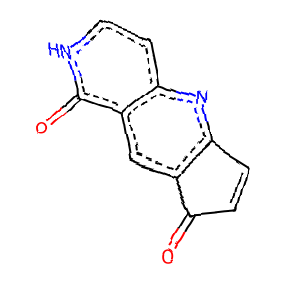 O=C1C=Cc2nc3cc[nH]c(=O)c3cc21